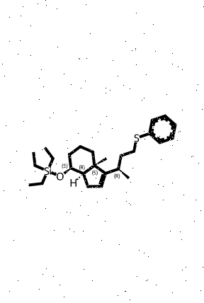 CC[Si](CC)(CC)O[C@H]1CCC[C@]2(C)C([C@H](C)CCSc3ccccc3)=CC[C@@H]12